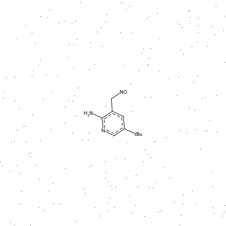 CC(C)(C)c1cnc(N)c(CN=O)c1